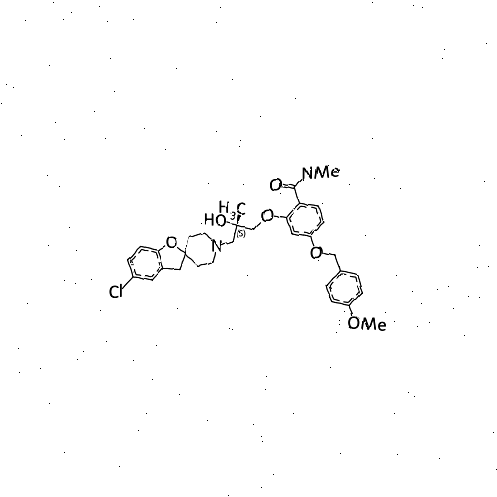 CNC(=O)c1ccc(OCc2ccc(OC)cc2)cc1OC[C@@](C)(O)CN1CCC2(CC1)Cc1cc(Cl)ccc1O2